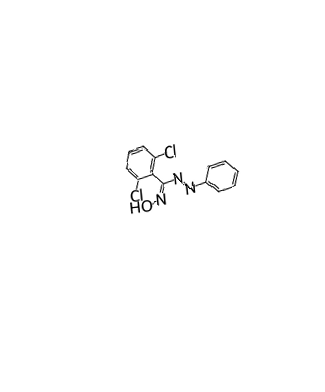 ON=C(N=Nc1ccccc1)c1c(Cl)cccc1Cl